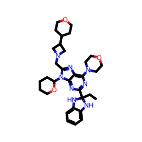 CCC1(c2nc(N3CCOCC3)c3nc(CN4CC(C5CCOCC5)C4)n(C4CCCCO4)c3n2)Nc2ccccc2N1